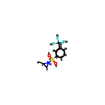 CC1CN1S(=O)(=O)c1cccc(C(F)(F)F)c1